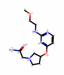 COCCNc1nccc(OC2CCN(CC(N)=O)C2)n1